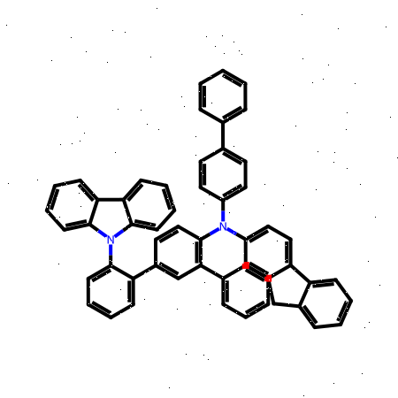 c1ccc(-c2ccc(N(c3ccc4c(c3)Cc3ccccc3-4)c3ccc(-c4ccccc4-n4c5ccccc5c5ccccc54)cc3-c3ccccc3)cc2)cc1